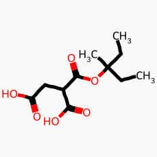 CCC(C)(CC)OC(=O)C(CC(=O)O)C(=O)O